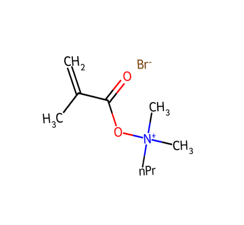 C=C(C)C(=O)O[N+](C)(C)CCC.[Br-]